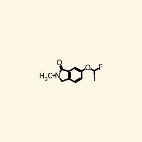 CN1Cc2ccc(OC(F)I)cc2C1=O